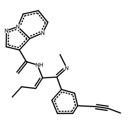 C=C(NC(=C\CC)/C(=N\C)c1cccc(C#CC)c1)c1cnn2cccnc12